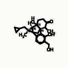 CC1C(=O)CC[C@@]2(O)[C@H]3C4(C[C@]12c1c4ccc(CO)c1O)[N+]3(C)CC1CC1